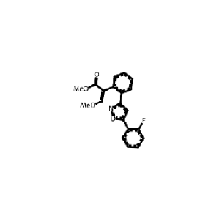 COC=C(C(=O)OC)c1ccccc1-c1cc(-c2ccccc2F)on1